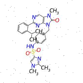 Cc1nc(S(=O)(=O)Nc2ccc(Cn3c(=O)n(C)c4cnc(-c5ccccc5C(C)C)nc43)cc2)cn1C